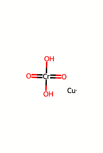 [Cu].[O]=[Cr](=[O])([OH])[OH]